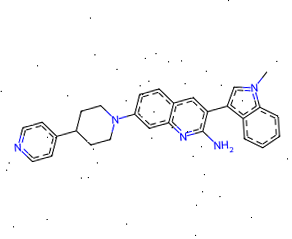 Cn1cc(-c2cc3ccc(N4CCC(c5ccncc5)CC4)cc3nc2N)c2ccccc21